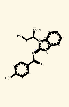 Cc1ccc(C(=O)/N=c2\sc3ccccc3n2C(CO)C(=O)O)cc1